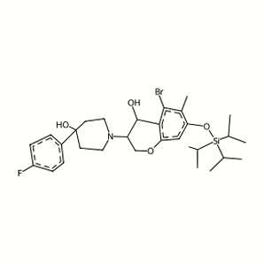 Cc1c(O[Si](C(C)C)(C(C)C)C(C)C)cc2c(c1Br)C(O)C(N1CCC(O)(c3ccc(F)cc3)CC1)CO2